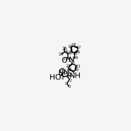 CCCC1(CC(=O)O)Nc2ccc(N(Cc3ccccc3)C(=O)CC(C)C)cc2N1